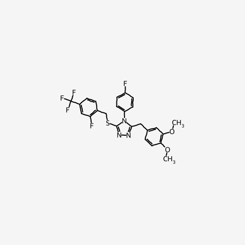 COc1ccc(Cc2nnc(SCc3ccc(C(F)(F)F)cc3F)n2-c2ccc(F)cc2)cc1OC